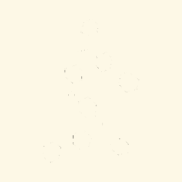 C(=C(c1ccccc1)c1ccc(-c2ccccc2)cc1)c1ccc(Oc2ccc(C=C(c3ccccc3)c3ccc(-c4ccccc4)cc3)cc2)cc1